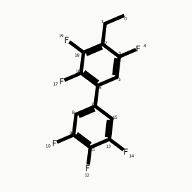 CCc1c(F)cc(-c2cc(F)c(F)c(F)c2)c(F)c1F